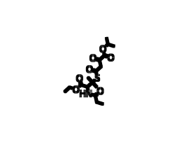 CCOC(=O)C(NC(=O)CC)C(C)(C)SC(=O)CC(=O)C(=O)OC(C)C